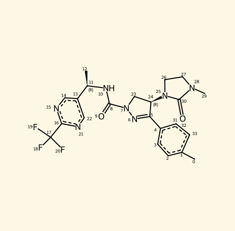 Cc1ccc(C2=NN(C(=O)N[C@H](C)c3cnc(C(F)(F)F)nc3)C[C@H]2N2CCN(C)C2=O)cc1